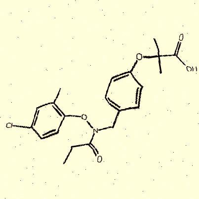 CCC(=O)N(Cc1ccc(OC(C)(C)C(=O)O)cc1)Oc1ccc(Cl)cc1C